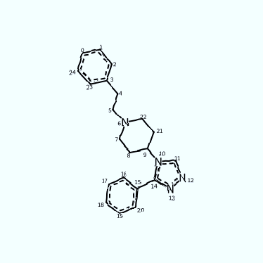 c1ccc(CCN2CCC(n3cnnc3-c3ccccc3)CC2)cc1